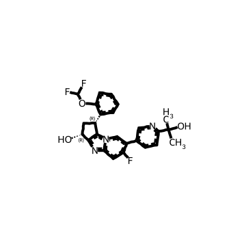 CC(C)(O)c1ccc(-c2cn3c4c(nc3cc2F)[C@H](O)C[C@@H]4c2ccccc2OC(F)F)cn1